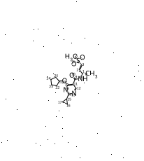 C[C@@H](/C=C/S(C)(=O)=O)NC(=O)c1cnc(C2CC2)nc1OC1CCCC1